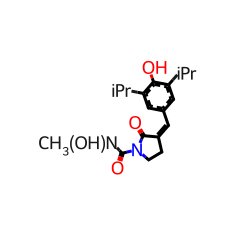 CC(C)c1cc(C=C2CCN(C(=O)N(C)O)C2=O)cc(C(C)C)c1O